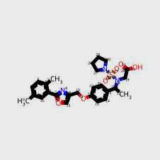 Cc1ccc(C)c(-c2nc(COc3ccc(C(C)N(CC(=O)O)S(=O)(=O)N4CCCC4)cc3)co2)c1